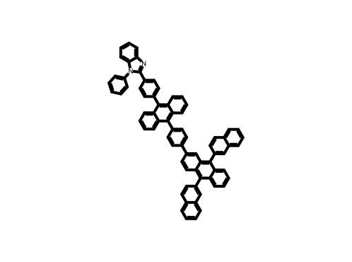 c1ccc(-n2c(-c3ccc(-c4c5ccccc5c(-c5ccc(-c6ccc7c(-c8ccc9ccccc9c8)c8ccccc8c(-c8ccc9ccccc9c8)c7c6)cc5)c5ccccc45)cc3)nc3ccccc32)cc1